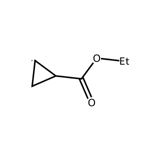 CCOC(=O)C1[CH]C1